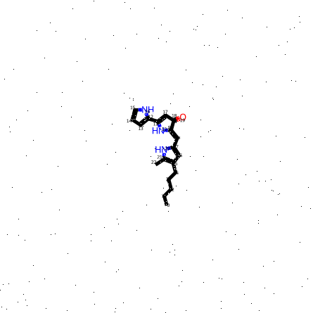 CCCCCc1cc(/C=C2\NC(c3ccc[nH]3)=CC2=O)[nH]c1C